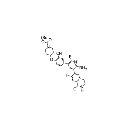 CC(C)(C)OC(=O)N1CCC(Oc2ccc(-c3cc(-c4cc5c(cc4F)C(=O)NCC5)c(N)nc3F)cc2C#N)CC1